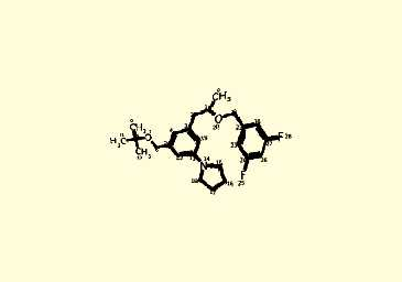 CC(Cc1cc(COC(C)(C)C)cc(N2CCCC2)c1)OCc1cc(F)cc(F)c1